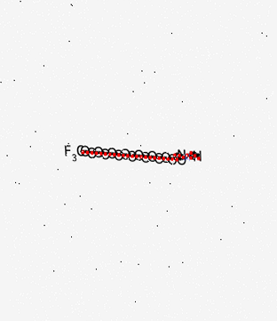 CN(C)c1ccc(/C=C/c2nc3ccc(OCCOCCOCCOCCOCCOCCOCCOCCOCCOCCOCCOCCOCCOCC(F)(F)F)cc3o2)cc1